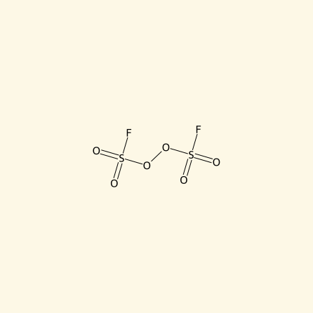 O=S(=O)(F)OOS(=O)(=O)F